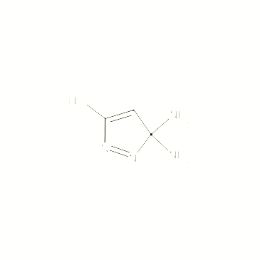 NC1(N)C=C(O)N=N1